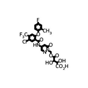 Cc1cc(F)ccc1Oc1cc(C(F)(F)F)c(Cl)cc1C(=O)Nc1cnn(COC(=O)C(O)C(O)C(=O)O)c(=O)c1